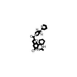 C=C1Nc2c(Cl)cc3cc(C(=O)N4C[C@@H]5[C@H](C4)[C@H]5c4ccccn4)oc3c2C2(CCCCC2)N1